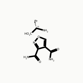 CC(C)[C@H](N)C(=O)O.NC(=O)c1conc1C(N)=O